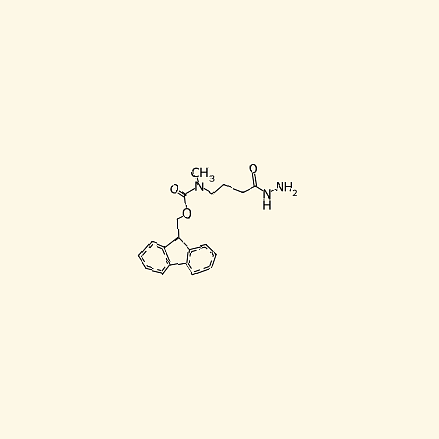 CN(CCCC(=O)NN)C(=O)OCC1c2ccccc2-c2ccccc21